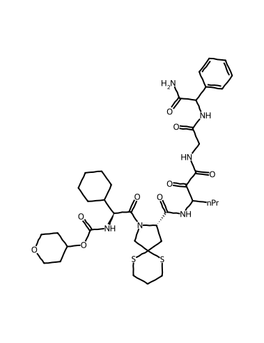 CCCC(NC(=O)[C@@H]1CC2(CN1C(=O)[C@@H](NC(=O)OC1CCOCC1)C1CCCCC1)SCCCS2)C(=O)C(=O)NCC(=O)NC(C(N)=O)c1ccccc1